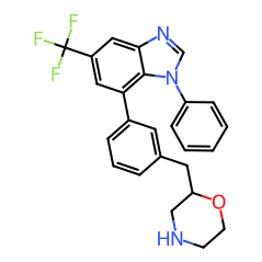 FC(F)(F)c1cc(-c2cccc(CC3CNCCO3)c2)c2c(c1)ncn2-c1ccccc1